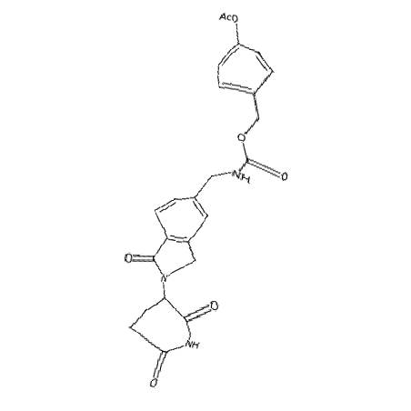 CC(=O)Oc1ccc(COC(=O)NCc2ccc3c(c2)CN(C2CCC(=O)NC2=O)C3=O)cc1